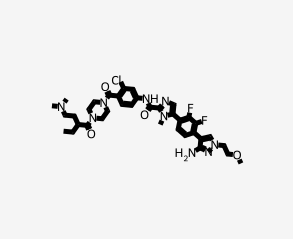 CCC(CCN(C)C)C(=O)N1CCN(C(=O)c2ccc(NC(=O)c3ncc(-c4ccc(-c5cn(CCOC)nc5N)c(F)c4F)n3C)cc2Cl)CC1